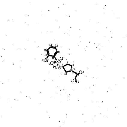 O=C(O)N1CC[C@H](NS(=O)(=O)c2ccccc2Br)C1